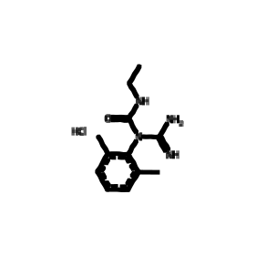 CCNC(=O)N(C(=N)N)c1c(C)cccc1C.Cl